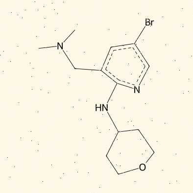 CN(C)Cc1cc(Br)cnc1NC1CCOCC1